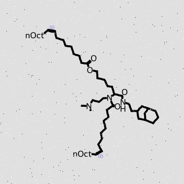 CCCCCCCC/C=C\CCCCCCCC(=O)OCCCCCC(C(=O)NCCC1CC2CCCC(C2)C1)N(CCCN(C)C)C(=O)CCCCCCC/C=C\CCCCCCCC